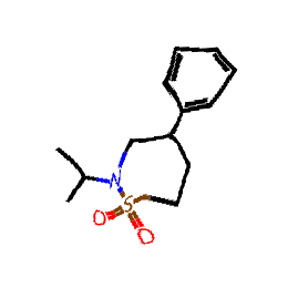 CC(C)N1CC(c2ccccc2)CCS1(=O)=O